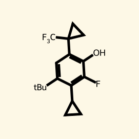 CC(C)(C)c1cc(C2(C(F)(F)F)CC2)c(O)c(F)c1C1CC1